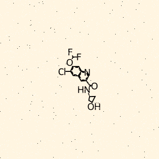 C[C@]1(O)C[C@@H](NC(=O)c2cnc3cc(OC(F)F)c(Cl)cc3c2)C1